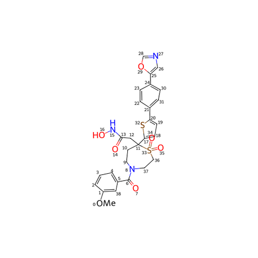 COc1cccc(C(=O)N2CCC(CC(=O)NO)(c3ccc(-c4ccc(-c5cnco5)cc4)s3)S(=O)(=O)CC2)c1